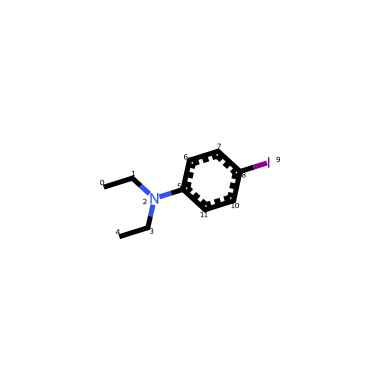 CCN(CC)c1ccc(I)cc1